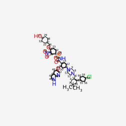 CC1(C)CCC(CN2CCN(c3ccc(C(=O)NS(=O)(=O)c4ccc(OCC5CCC(O)CC5)c([N+](=O)[O-])c4)c(Oc4cnc5[nH]ccc5c4)c3)CC2)=C(c2ccc(Cl)cc2)C1